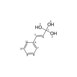 OC(O)(O)C=Cc1ccccc1